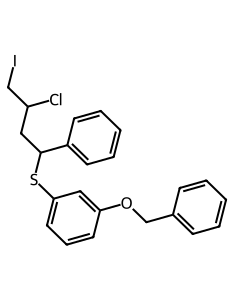 ClC(CI)CC(Sc1cccc(OCc2ccccc2)c1)c1ccccc1